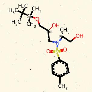 Cc1ccc(S(=O)(=O)N(C[C@@H](O)CO[Si](C)(C)C(C)(C)C)[C@H](C)CO)cc1